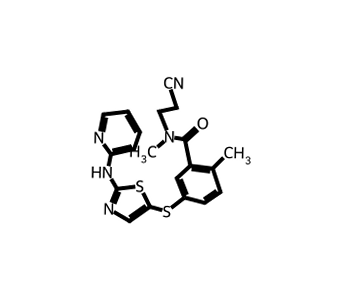 Cc1ccc(Sc2cnc(Nc3ccccn3)s2)cc1C(=O)N(C)CCC#N